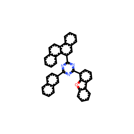 c1ccc2cc(-c3nc(-c4cccc5c4oc4ccccc45)nc(-c4cc5ccccc5c5ccc6ccccc6c45)n3)ccc2c1